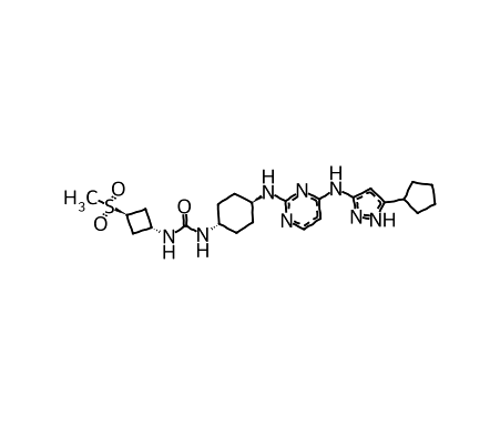 CS(=O)(=O)[C@H]1C[C@H](NC(=O)N[C@H]2CC[C@H](Nc3nccc(Nc4cc(C5CCCC5)[nH]n4)n3)CC2)C1